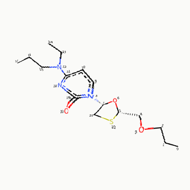 CCCOC[C@H]1O[C@@H](n2ccc(N(CC)CCC)nc2=O)CS1